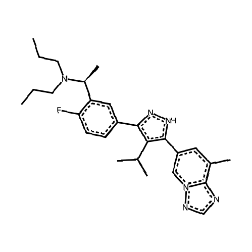 CCCN(CCC)[C@@H](C)c1cc(-c2n[nH]c(-c3cc(C)c4ncnn4c3)c2C(C)C)ccc1F